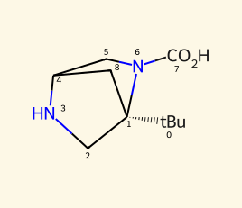 CC(C)(C)[C@@]12CNC(CN1C(=O)O)C2